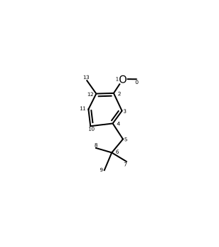 COc1cc(CC(C)(C)C)ccc1C